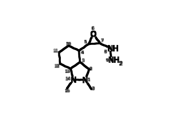 CN1CC2C(C3OC3NN)CCCC2N1C